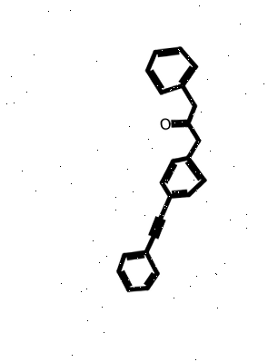 O=C(Cc1ccccc1)Cc1ccc(C#Cc2ccccc2)cc1